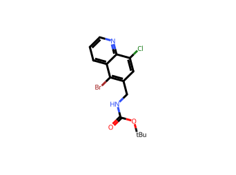 CC(C)(C)OC(=O)NCc1cc(Cl)c2ncccc2c1Br